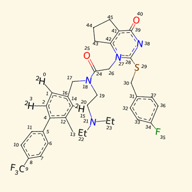 [2H]c1c([2H])c(-c2ccc(C(F)(F)F)cc2)c(C)c([2H])c1CN(CCN(CC)CC)C(=O)Cn1c(SCc2ccc(F)cc2)nc(=O)c2c1CCC2